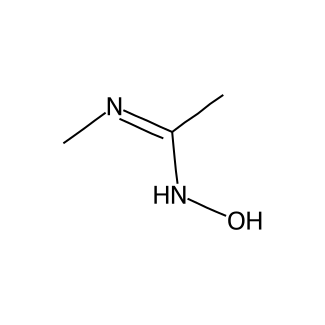 CN=C(C)NO